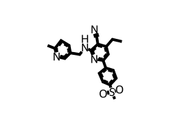 CCc1cc(-c2ccc(S(C)(=O)=O)cc2)nc(NCc2ccc(C)nc2)c1C#N